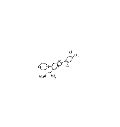 COc1cc(OC)c(-c2cn3cc(C(N)CN)c(N4CCOCC4)cc3n2)cc1Cl